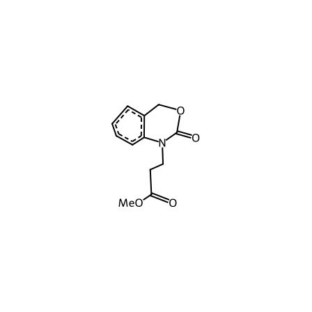 COC(=O)CCN1C(=O)OCc2ccccc21